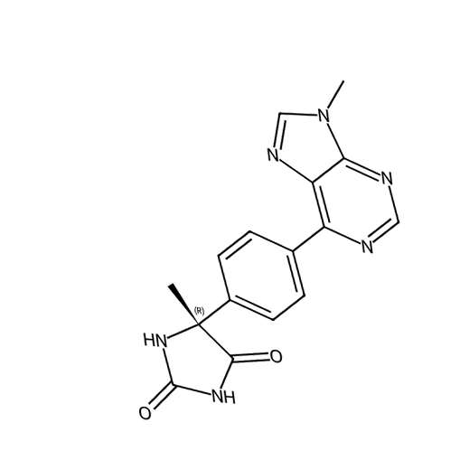 Cn1cnc2c(-c3ccc([C@@]4(C)NC(=O)NC4=O)cc3)ncnc21